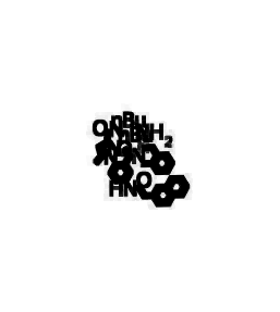 CCCCN(CCCC)C(=O)c1cc(C)n(-c2ccc(NC(=O)Cc3ccc4ccccc4c3)cc2C(=O)N2Cc3ccccc3C[C@H]2CN)n1